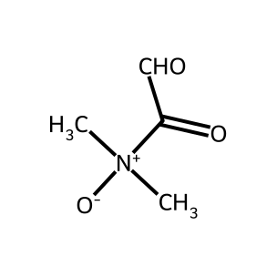 C[N+](C)([O-])C(=O)C=O